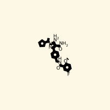 COc1ccc(F)cc1C(=O)NCc1ccc(-c2nn(C(C)C3CCCC3)c(N)c2C(N)=O)cc1